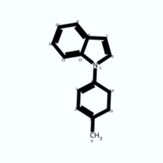 CC1=CC=C(n2ccc3ccccc32)CC1